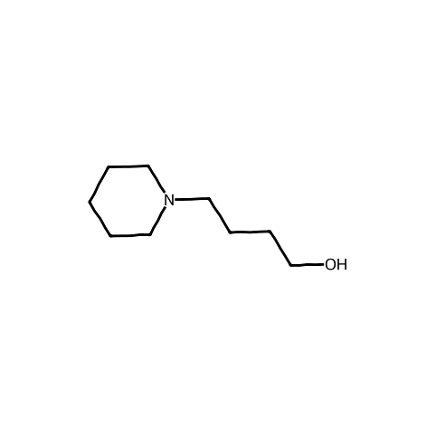 OCCCCN1CCCCC1